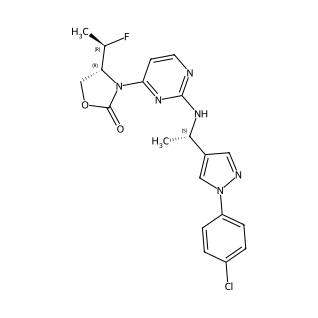 C[C@H](Nc1nccc(N2C(=O)OC[C@@H]2[C@@H](C)F)n1)c1cnn(-c2ccc(Cl)cc2)c1